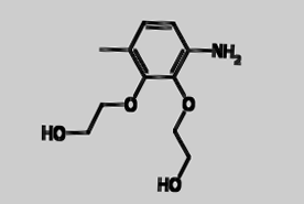 Cc1ccc(N)c(OCCO)c1OCCO